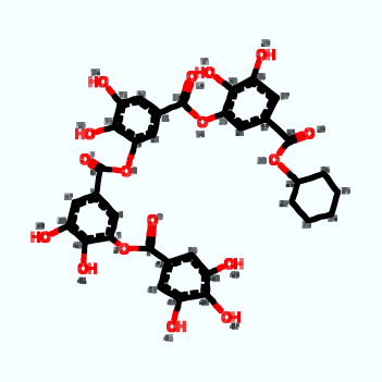 O=C(Oc1cc(C(=O)Oc2cc(C(=O)Oc3cc(C(=O)OC4CCCCC4)cc(O)c3O)cc(O)c2O)cc(O)c1O)c1cc(O)c(O)c(O)c1